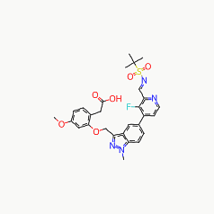 COc1ccc(CC(=O)O)c(OCc2nn(C)c3ccc(-c4ccnc(C=NS(=O)(=O)C(C)(C)C)c4F)cc23)c1